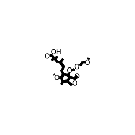 COCCOCOc1c(CC=C(C)CC(C)(C)C(=O)O)c(OC)c(C)c2c1C(=O)OC2